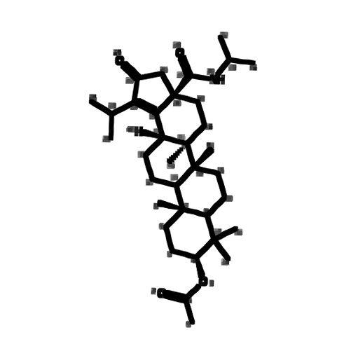 CC(=O)O[C@H]1CC[C@@]2(C)C(CC[C@]3(C)C2CC[C@@H]2C4=C(C(C)C)C(=O)C[C@]4(C(=O)NC(C)C)CC[C@]23C)C1(C)C